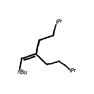 CCCCC=C(CCC(C)C)CCC(C)C